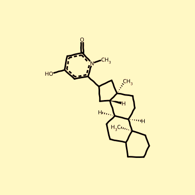 Cn1c(C2C[C@H]3[C@@H]4CCC5CCCC[C@]5(C)[C@@H]4CC[C@]3(C)C2)cc(O)cc1=O